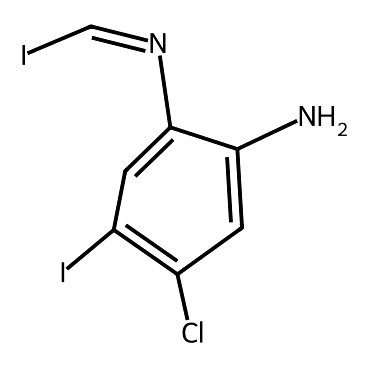 Nc1cc(Cl)c(I)cc1/N=C\I